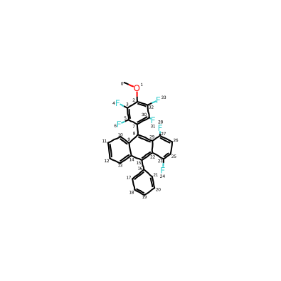 COc1c(F)c(F)c(-c2c3ccccc3c(-c3ccccc3)c3c(F)ccc(F)c23)c(F)c1F